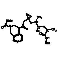 CCCCNC(=O)[C@H](C)C[C@H](O)[C@@H](N)CC1(CC(=O)N2C[C@H](C(=O)NC)Cc3ccccc32)CC1